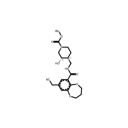 CC(C)(C)OC(=O)N1CC[C@@H](CNC(=O)c2cc(CC#N)cc3c2OCCCO3)[C@H](O)C1